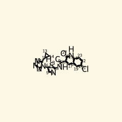 C[C@H](Nc1ncc(-n2nnnc2C2CC2)s1)c1cc2cc(Cl)ccc2[nH]c1=O